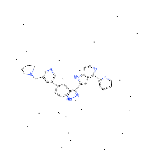 c1ccc(-c2nccc3[nH]c(-c4n[nH]c5ccc(-c6cncc(CN7CCCC7)c6)cc45)cc23)nc1